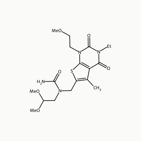 CCn1c(=O)c2c(C)c(CN(CC(OC)OC)C(N)=O)sc2n(CCOC)c1=O